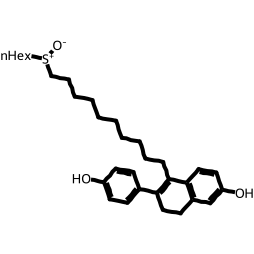 CCCCCC[S+]([O-])CCCCCCCCCCC1=C(c2ccc(O)cc2)CCc2cc(O)ccc21